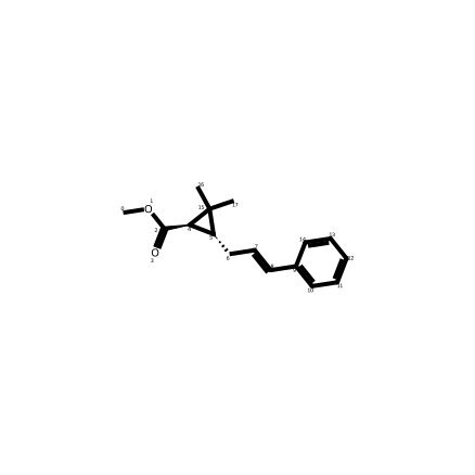 COC(=O)[C@@H]1[C@@H](C/C=C/c2ccccc2)C1(C)C